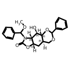 COC(c1ccccc1)N1C(=O)O[C@H]2C[C@@H]3COC(c4ccccc4)O[C@H]3[C@H](O)[C@H]21